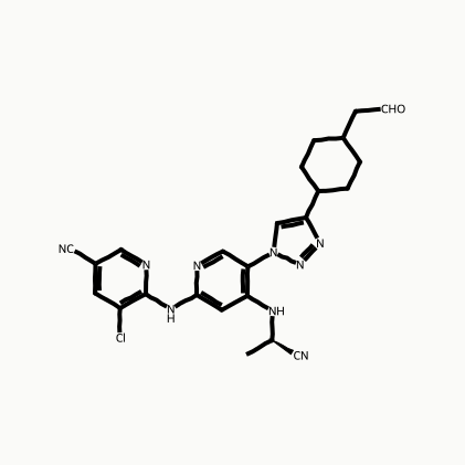 C[C@H](C#N)Nc1cc(Nc2ncc(C#N)cc2Cl)ncc1-n1cc(C2CCC(CC=O)CC2)nn1